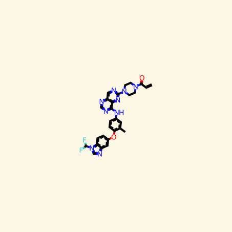 C=CC(=O)N1CCN(c2ncc3ncnc(Nc4ccc(Oc5ccc6c(c5)ncn6C(F)F)c(C)c4)c3n2)CC1